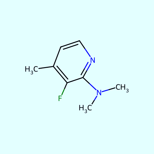 Cc1ccnc(N(C)C)c1F